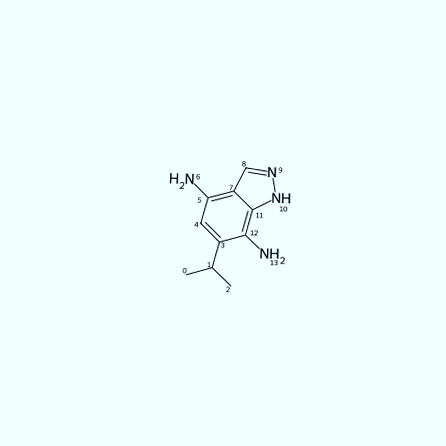 CC(C)c1cc(N)c2cn[nH]c2c1N